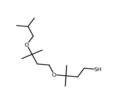 CC(C)COC(C)(C)CCOC(C)(C)CCS